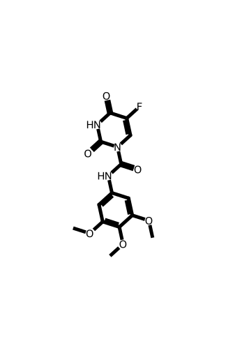 COc1cc(NC(=O)n2cc(F)c(=O)[nH]c2=O)cc(OC)c1OC